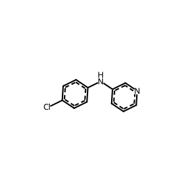 Clc1ccc(Nc2cccnc2)cc1